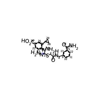 N/N=C(/SCC(=O)NCc1cccc(C(N)=O)c1)N(N)c1ccc(C(=O)O)cc1C1CC1